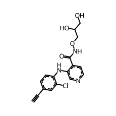 C#Cc1ccc(Nc2cnccc2C(=O)NOCC(O)CO)c(Cl)c1